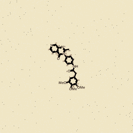 COc1cc(CC(=O)Nc2ccc(-n3c(C)nc4cnccc4c3=O)cc2)cc(OC)c1OC